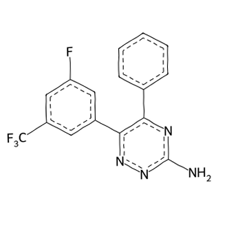 Nc1nnc(-c2cc(F)cc(C(F)(F)F)c2)c(-c2ccccc2)n1